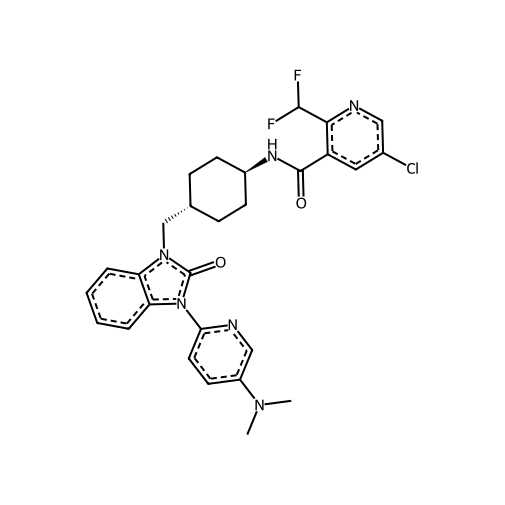 CN(C)c1ccc(-n2c(=O)n(C[C@H]3CC[C@H](NC(=O)c4cc(Cl)cnc4C(F)F)CC3)c3ccccc32)nc1